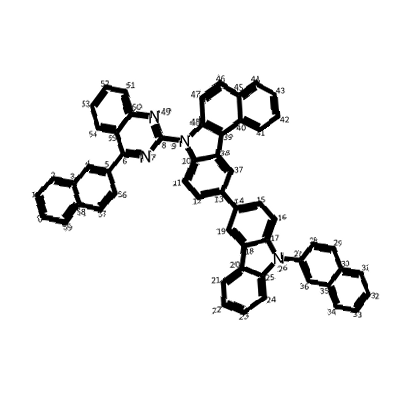 c1ccc2cc(-c3nc(-n4c5ccc(-c6ccc7c(c6)c6ccccc6n7-c6ccc7ccccc7c6)cc5c5c6ccccc6ccc54)nc4ccccc34)ccc2c1